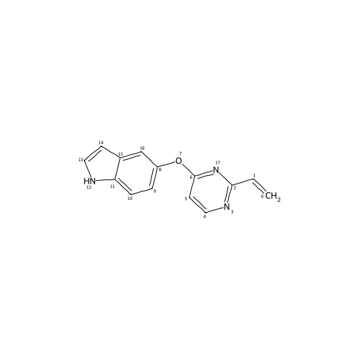 C=Cc1nccc(Oc2ccc3[nH]ccc3c2)n1